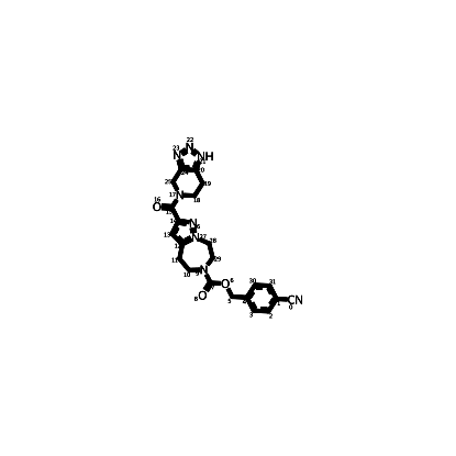 N#Cc1ccc(COC(=O)N2CCc3cc(C(=O)N4CCc5[nH]nnc5C4)nn3CC2)cc1